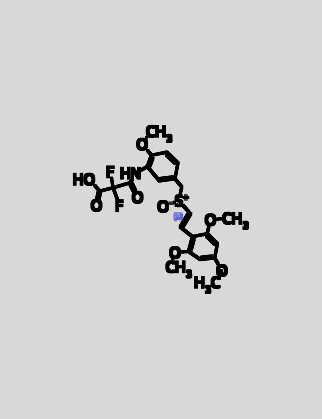 COc1cc(OC)c(/C=C/[S+]([O-])Cc2ccc(OC)c(NC(=O)C(F)(F)C(=O)O)c2)c(OC)c1